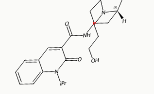 CC(C)n1c(=O)c(C(=O)NC2C[C@H]3CC[C@@H](C2)N3CCCO)cc2ccccc21